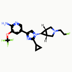 Nc1ncc(-c2cn([C@H]3[C@@H]4CN(CCF)C[C@@H]43)c(C3CC3)n2)cc1OC(F)(F)F